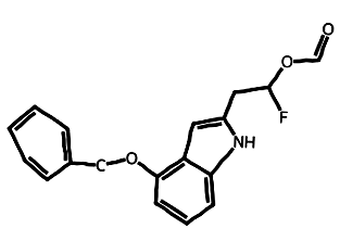 O=COC(F)Cc1cc2c(OCc3ccccc3)cccc2[nH]1